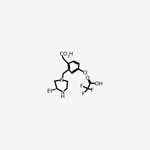 CC[C@H]1CN(Cc2cc(Cl)ccc2CC(=O)O)CCN1.O=C(O)C(F)(F)F